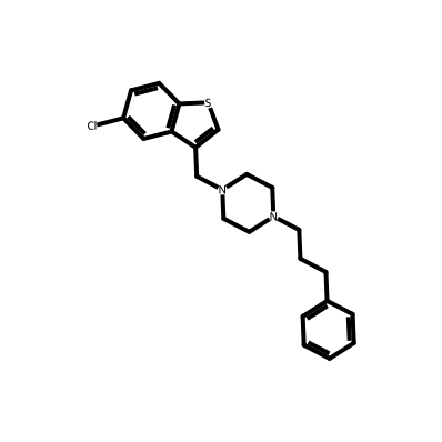 Clc1ccc2scc(CN3CCN(CCCc4ccccc4)CC3)c2c1